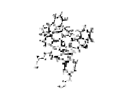 CCCCc1ccc2c(c1)c1cc(CCCC)cc3c1n2-c1cc2oc4ccccc4c2c2c1B3N1c3ccccc3C3(c4ccccc4-c4ccccc43)c3cccc-2c31